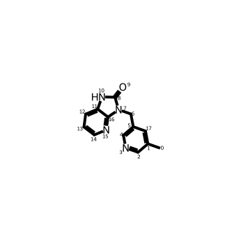 Cc1cncc(Cn2c(=O)[nH]c3cccnc32)c1